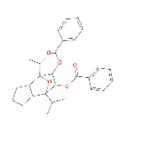 CC(C)C12OC(C(C)C)(C3CCCC31)C(OC(=O)c1ccccc1)C2OC(=O)c1ccccc1